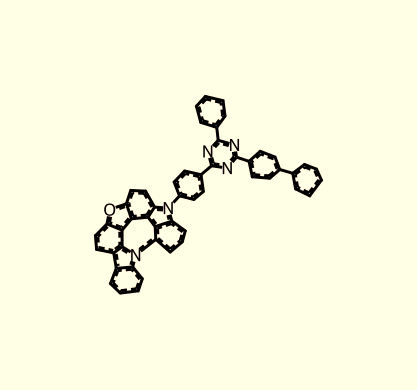 c1ccc(-c2ccc(-c3nc(-c4ccccc4)nc(-c4ccc(-n5c6ccc7oc8ccc9c%10ccccc%10n%10c%11cccc5c%11c6c7c8c9%10)cc4)n3)cc2)cc1